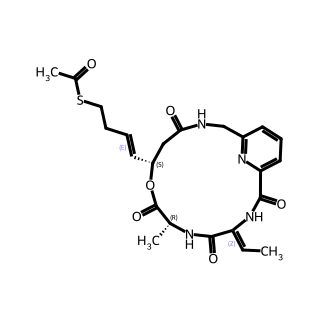 C/C=C1\NC(=O)c2cccc(n2)CNC(=O)C[C@@H](/C=C/CCSC(C)=O)OC(=O)[C@@H](C)NC1=O